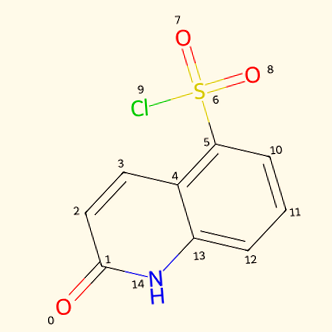 O=c1ccc2c(S(=O)(=O)Cl)cccc2[nH]1